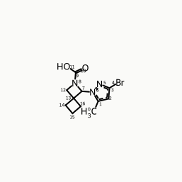 Cc1cc(Br)nn1C1N(C(=O)O)CC12CCC2